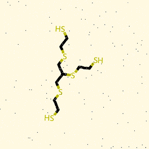 SCCSCC(CSCCS)SCCS